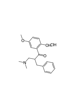 COc1ccc(O)c(C(=O)C(Cc2ccccc2)CN(C)C)c1.Cl